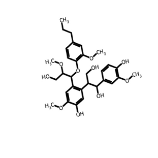 CCCc1ccc(OC(c2cc(OC)c(O)cc2C(CO)C(O)c2ccc(O)c(OC)c2)C(CO)OC)c(OC)c1